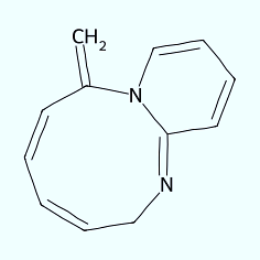 C=C1/C=C\C=C/C/N=C2/C=CC=CN12